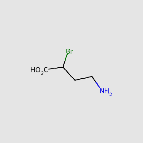 NCCC(Br)C(=O)O